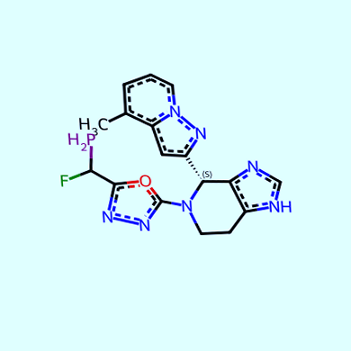 Cc1cccn2nc([C@@H]3c4nc[nH]c4CCN3c3nnc(C(F)P)o3)cc12